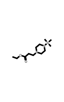 CCOC(=O)CCN1CCN([Si](C)(C)C)CC1